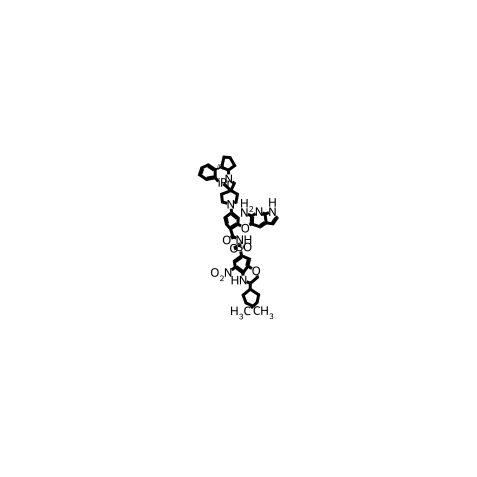 CC(C)c1ccccc1[C@H]1CCCC1N1CC2(CCN(c3ccc(C(=O)NS(=O)(=O)c4cc5c(c([N+](=O)[O-])c4)NC(C4CCC(C)(C)CC4)CO5)c(Oc4cc5cc[nH]c5nc4N)c3)CC2)C1